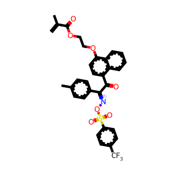 C=C(C)C(=O)OCCOc1ccc(C(=O)/C(=N/OS(=O)(=O)c2ccc(C(F)(F)F)cc2)c2ccc(C)cc2)c2ccccc12